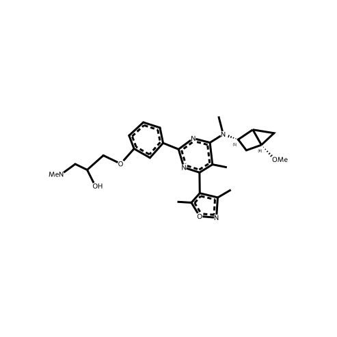 CNCC(O)COc1cccc(-c2nc(-c3c(C)noc3C)c(C)c(N(C)[C@H]3C[C@]4(OC)CC34)n2)c1